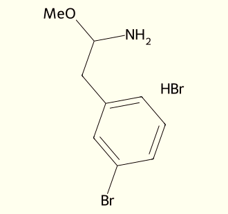 Br.COC(N)Cc1cccc(Br)c1